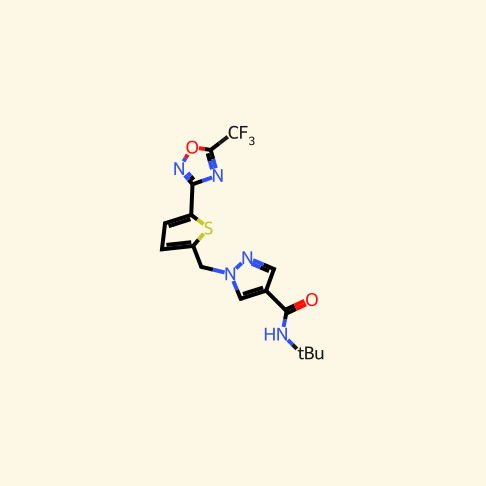 CC(C)(C)NC(=O)c1cnn(Cc2ccc(-c3noc(C(F)(F)F)n3)s2)c1